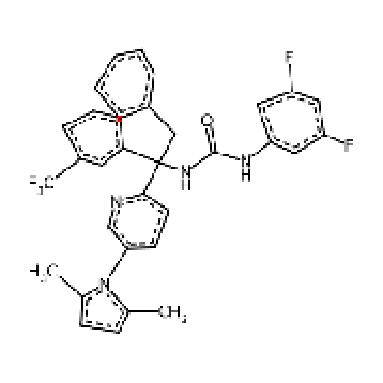 Cc1ccc(C)n1-c1ccc(C(Cc2ccccc2)(NC(=O)Nc2cc(F)cc(F)c2)c2cccc(C(F)(F)F)c2)nc1